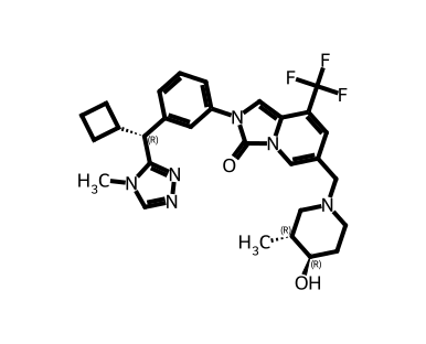 C[C@@H]1CN(Cc2cc(C(F)(F)F)c3cn(-c4cccc([C@H](c5nncn5C)C5CCC5)c4)c(=O)n3c2)CC[C@H]1O